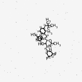 CC(=O)NC(Cc1cc(F)cc(F)c1)C(O)C[AsH]Cc1cc(CC(C)(C)C)ccc1-n1ccnc1S